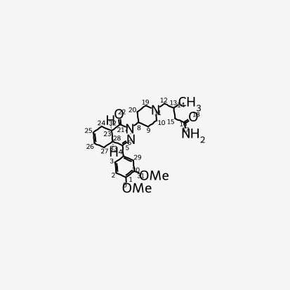 COc1ccc(C2=NN(C3CCN(CC(C)CC(N)=O)CC3)C(=O)[C@@H]3CC=CC[C@H]23)cc1OC